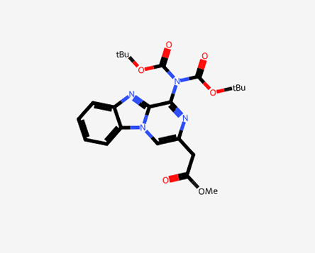 COC(=O)Cc1cn2c(nc3ccccc32)c(N(C(=O)OC(C)(C)C)C(=O)OC(C)(C)C)n1